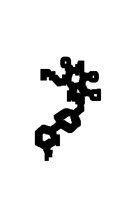 CC(C)Cn1c(=O)n(C)c(=O)c2c(Cl)n(Cc3ccc(-c4cccc(F)n4)cc3)nc21